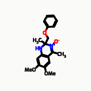 COc1cc2c(cc1OC)C(C)=[N+]([O-])C(C)(COc1ccccc1)N2